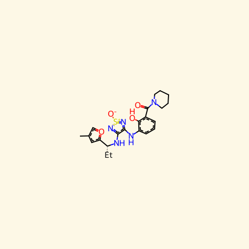 CC[C@@H](Nc1n[s+]([O-])nc1Nc1cccc(C(=O)N2CCCCC2)c1O)c1cc(C)co1